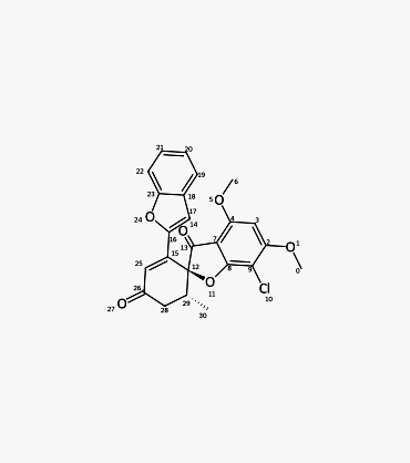 COc1cc(OC)c2c(c1Cl)O[C@]1(C2=O)C(c2cc3ccccc3o2)=CC(=O)C[C@H]1C